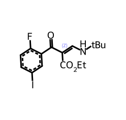 CCOC(=O)/C(=C\NC(C)(C)C)C(=O)c1cc(I)ccc1F